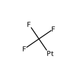 F[C](F)(F)[Pt]